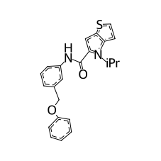 CC(C)n1c(C(=O)Nc2cccc(COc3ccccc3)c2)cc2sccc21